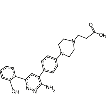 Nc1nnc(-c2ccccc2O)cc1-c1ccc(N2CCN(CCC(=O)O)CC2)cc1